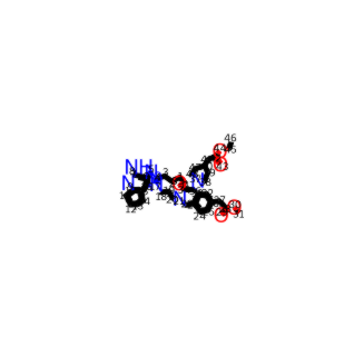 CCCCc1nc2c(N)nc3ccccc3c2n1CCCN(Cc1ccc(CC(=O)OC)cc1)C(=O)CN1CCC(CC(=O)OCC)CC1